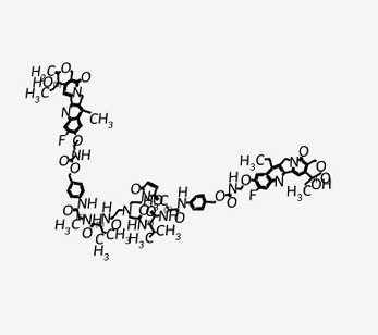 C=C1OCc2c(cc3n(c2=O)Cc2c-3nc3cc(F)c(OCNC(=O)OCc4ccc(NC(=O)[C@H](C)NC(=O)[C@@H](NC(=O)CN(CCN5C(=O)C=CC5=O)CC(=O)N[C@H](C(=O)N[C@@H](C)C(=O)Nc5ccc(COC(=O)NCOc6cc7c(CC)c8c(nc7cc6F)-c6cc7c(c(=O)n6C8)COC(=O)[C@]7(O)CC)cc5)C(C)C)C(C)C)cc4)cc3c2CC)[C@@]1(O)CC